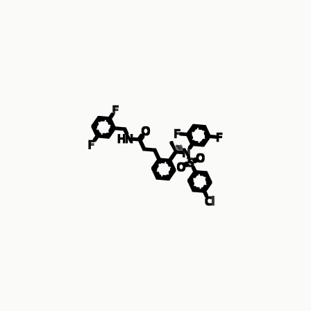 C[C@H](c1ccccc1CCC(=O)NCc1cc(F)ccc1F)N(c1cc(F)ccc1F)S(=O)(=O)c1ccc(Cl)cc1